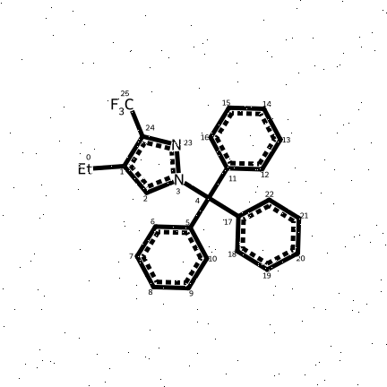 CCc1cn(C(c2ccccc2)(c2ccccc2)c2ccccc2)nc1C(F)(F)F